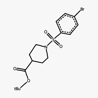 CC(C)(C)OC(=O)C1CCN(S(=O)(=O)c2ccc(Br)cc2)CC1